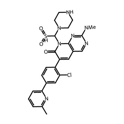 CNc1ncc2cc(-c3ccc(-c4cccc(C)n4)cc3Cl)c(=O)n(C(N3CCNCC3)[SH](=O)=O)c2n1